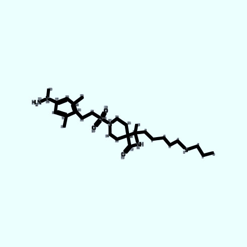 CCCSCCCCCC1(C)NC(=O)C12CCN(S(=O)(=O)CCc1c(C)cc(N(C)N)cc1C)CC2